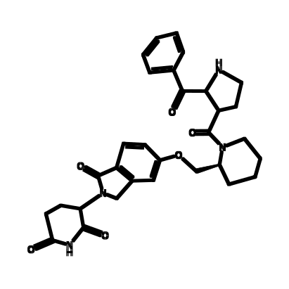 O=C1CCC(N2Cc3cc(OC[C@@H]4CCCCN4C(=O)C4CCNC4C(=O)c4ccccc4)ccc3C2=O)C(=O)N1